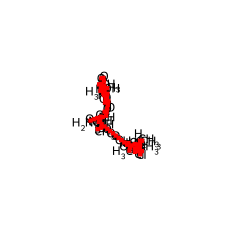 COc1cc(C(=O)NCCOCCOCCOCCOCCC(=O)N[C@@H](CCSC)C(=O)N[C@@H](CCCNC(N)=O)C(=O)Nc2ccc(COC(=O)N3CCN(C(=O)O[C@H]4CC[C@@]5(C)[C@H](CC[C@@H]6[C@@H]5[C@H](O)C(=O)[C@]5(C)[C@@H](c7ccc(=O)oc7)CC[C@]65O)C4)CC3)cc2)ccc1NC(=O)[C@@H]1N[C@@H](CC(C)(C)C)[C@](C)(c2ccc(Cl)cc2F)[C@H]1c1cccc(Cl)c1F